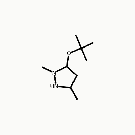 CC1CC(OC(C)(C)C)N(C)N1